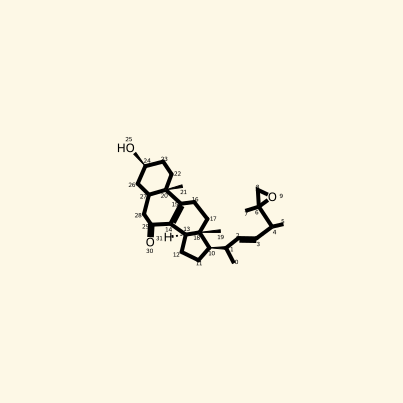 CC(C=CC(C)C1(C)CO1)[C@H]1CC[C@H]2C3=C(CC[C@]12C)[C@@]1(C)CC[C@H](O)CC1CC3=O